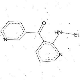 CCNc1ncccc1C(=O)c1cccnc1